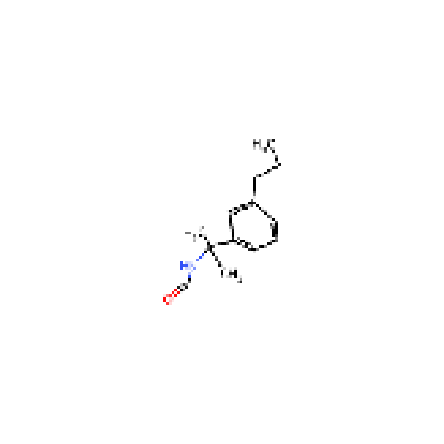 CCCc1cccc(C(C)(C)NC=O)c1